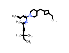 C=C/C=C(\N=C(/C)C#CC(C)(C)CC)N1CCC(CC2CC(CC)C2)CC1